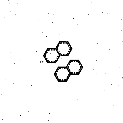 [Fe].c1ccc2ccccc2c1.c1ccc2ccccc2c1